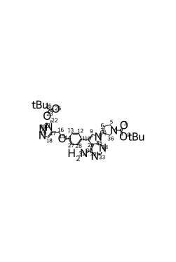 CC(C)(C)OC(=O)N1CC[C@@H](n2cc(-c3ccc(OCc4cnnn4COC(=O)C(C)(C)C)cc3)c3c(N)ncnc32)C1